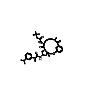 CN1CCC[C@H](NC(=O)CC(C)(C)C)C(=O)N2C[C@@H](NC(=O)Nc3cccc(N(C)C)c3)C[C@H]2COc2cccc(c2)C1=O